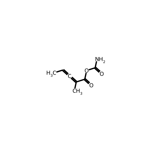 CC=C=C(C)C(=O)OC(N)=O